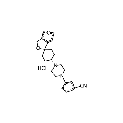 Cl.N#Cc1cccc(N2CCN([C@H]3CC[C@@]4(CC3)OCc3ccccc34)CC2)c1